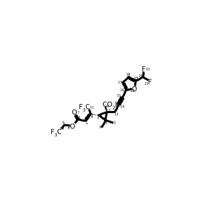 CC1(C)[C@H](/C(=C/C(=O)OCC(F)(F)F)C(F)(F)F)[C@@]1(CC#Cc1ccc(C(F)F)o1)C(=O)O